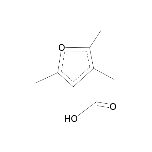 Cc1cc(C)c(C)o1.O=CO